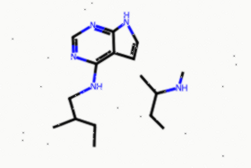 CCC(C)CNc1ncnc2[nH]ccc12.CCC(C)NC